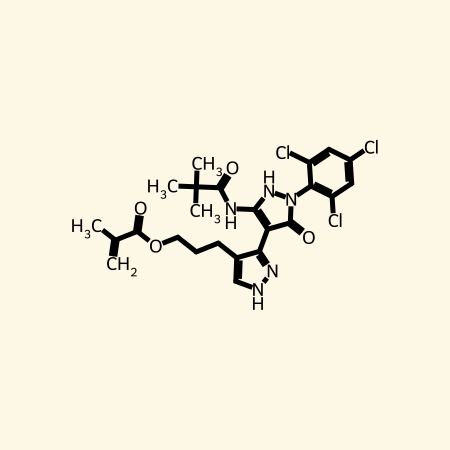 C=C(C)C(=O)OCCCc1c[nH]nc1-c1c(NC(=O)C(C)(C)C)[nH]n(-c2c(Cl)cc(Cl)cc2Cl)c1=O